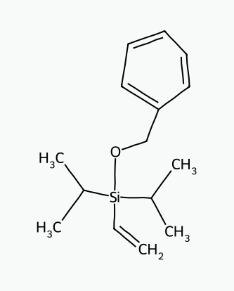 C=C[Si](OCc1ccccc1)(C(C)C)C(C)C